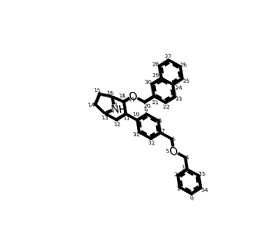 c1ccc(COCc2ccc(C3CC4CCC(N4)C3OCc3ccc4ccccc4c3)cc2)cc1